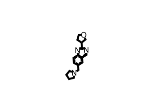 c1cc2nc(C3CCOC3)ncc2cc1CN1CCCC1